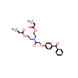 C=CC(=O)OCCN(CCOC(=O)C=C)C(=O)COc1ccc(C(=O)c2ccccc2)cc1